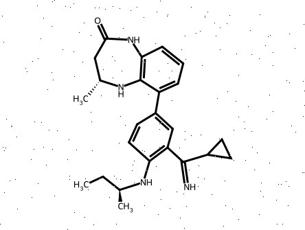 CC[C@H](C)Nc1ccc(-c2cccc3c2N[C@H](C)CC(=O)N3)cc1C(=N)C1CC1